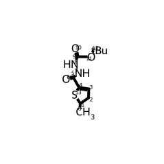 CC1CC=C(C(=O)NNC(=O)OC(C)(C)C)S1